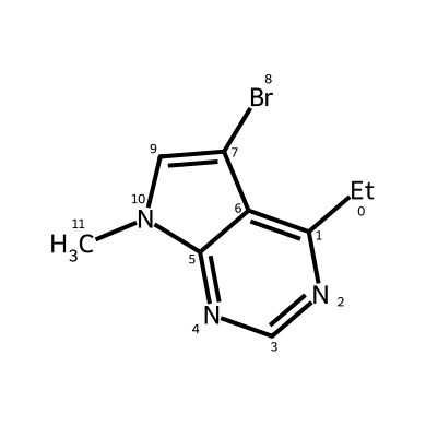 CCc1ncnc2c1c(Br)cn2C